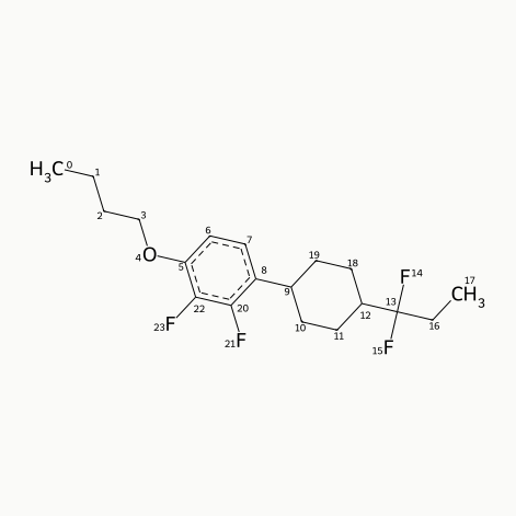 CCCCOc1ccc(C2CCC(C(F)(F)CC)CC2)c(F)c1F